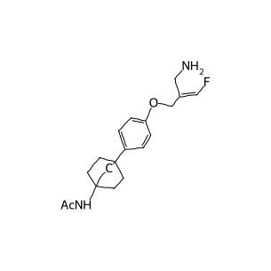 CC(=O)NC12CCC(c3ccc(OCC(=CF)CN)cc3)(CC1)CC2